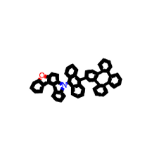 c1ccc2c(c1)-c1ccccc1-c1ccc(-c3c4ccccc4c(-n4c5ccccc5c5c6c(ccc54)oc4ccccc46)c4ccccc34)cc1-c1ccccc1-2